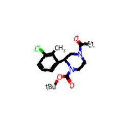 CCC(=O)N1CCN(C(=O)OC(C)(C)C)C(c2cccc(Cl)c2C)C1